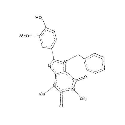 CCCCn1c(=O)c2c(nc(-c3ccc(O)c(OC)c3)n2Cc2ccccc2)n(CCCC)c1=O